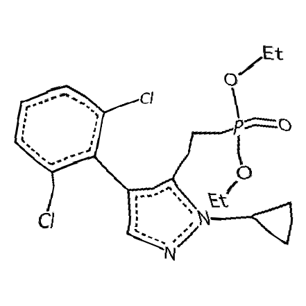 CCOP(=O)(Cc1c(-c2c(Cl)cccc2Cl)cnn1C1CC1)OCC